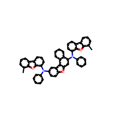 Cc1cccc2c1oc1c(N(c3ccccc3)c3ccc4oc5cc(N(c6ccccc6)c6cccc7c6oc6c(C)cccc67)c6ccccc6c5c4c3)cccc12